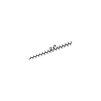 CCCCCCCCCCCCCCCC(=O)OC([C]=O)CCCCCCCCCCCC